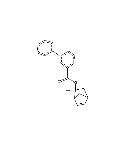 CC1(OC(=O)c2cccc(-c3ccccc3)c2)CC2C=CC1C2